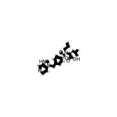 C=CCN([C@@H](CC(C)C)C(=O)O)S(=O)(=O)c1ccc(CN2CNc3cnccc32)cc1